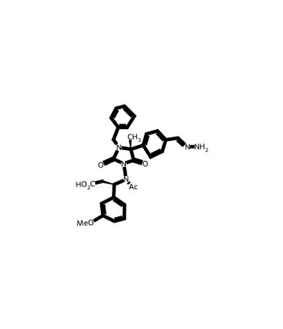 COc1cccc([C@@H](CC(=O)O)N(C(C)=O)N2C(=O)N(Cc3ccccc3)[C@](C)(c3ccc(C=NN)cc3)C2=O)c1